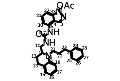 CC(=O)On1ncc2c(NC(=O)NCC3CCc4ccccc4N3CCCc3ccccc3)cccc21